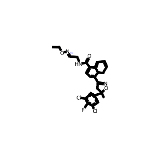 CCO/N=C/CNC(=O)C1=CC=C(C2=NOC(C)(c3cc(Cl)c(F)c(Cl)c3)C2)C2CC=CC=C12